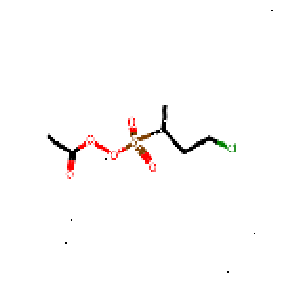 CC(=O)OOS(=O)(=O)C(C)CCCl